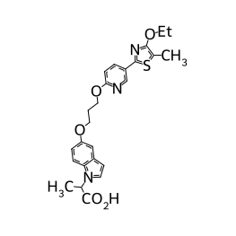 CCOc1nc(-c2ccc(OCCCOc3ccc4c(ccn4C(C)C(=O)O)c3)nc2)sc1C